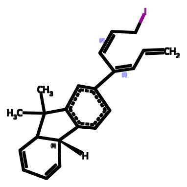 C=C/C=C(\C=C/CI)c1ccc2c(c1)C(C)(C)C1C=CC=C[C@@H]21